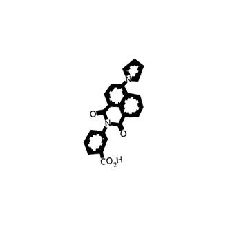 O=C(O)c1cccc(N2C(=O)c3cccc4c(-n5cccc5)ccc(c34)C2=O)c1